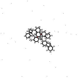 c1ccc2c(c1)Sc1ccc(N(c3ccc4c(c3)sc3ccccc34)c3cccc4ccccc34)cc1C21c2ccccc2-c2cccc3cccc1c23